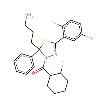 NCCCC1(c2ccccc2)SC(c2cc(F)ccc2F)=NN1C(=O)C1CCCCC1F